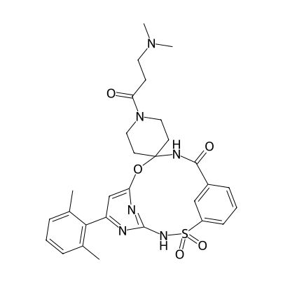 Cc1cccc(C)c1-c1cc2nc(n1)NS(=O)(=O)c1cccc(c1)C(=O)NC1(CCN(C(=O)CCN(C)C)CC1)O2